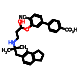 CC(C)(Cc1ccc2c(c1)CCC2)NCCC(O)Oc1cc(-c2ccc(C(=O)O)cc2)ccc1C#N